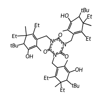 CCC1=C(Cn2c(=O)n(CC3=C(CC)C(C)(CC)C(C(C)(C)C)C(O)=C3C)c(=O)n(CC3=C(CC)C(C)(CC)C(C(C)(C)C)C(O)=C3C)c2=O)C(C)=C(O)C(C(C)(C)C)C1(C)CC